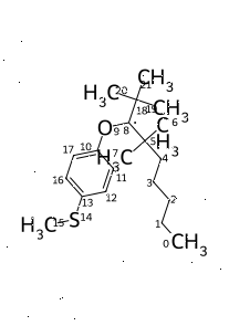 CCCCCC(C)(C)[C](Oc1ccc(SC)cc1)C(C)(C)C